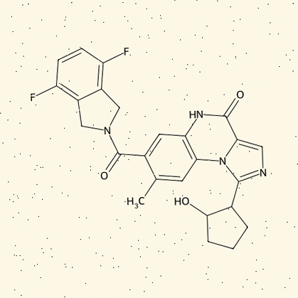 Cc1cc2c(cc1C(=O)N1Cc3c(F)ccc(F)c3C1)[nH]c(=O)c1cnc(C3CCCC3O)n12